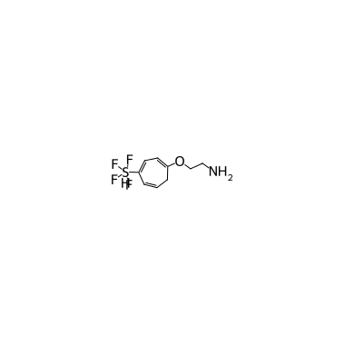 NCCOC1=CC=C([SH](F)(F)(F)F)C=CC1